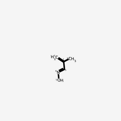 C=C(C)/C=N/O